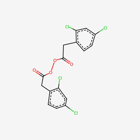 O=C(Cc1ccc(Cl)cc1Cl)OOC(=O)Cc1ccc(Cl)cc1Cl